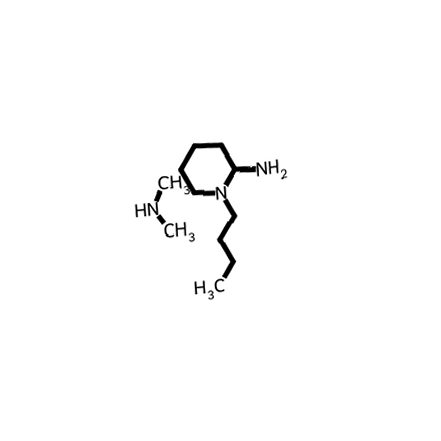 CCCCN1CCCCC1N.CNC